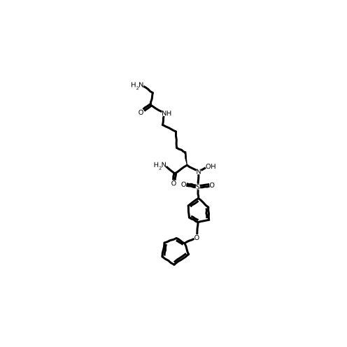 NCC(=O)NCCCC[C@H](C(N)=O)N(O)S(=O)(=O)c1ccc(Oc2ccccc2)cc1